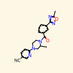 Cc1nc(-c2cccc(C(=O)N3CCN(c4ccc(C#N)cn4)CC3C)c2)no1